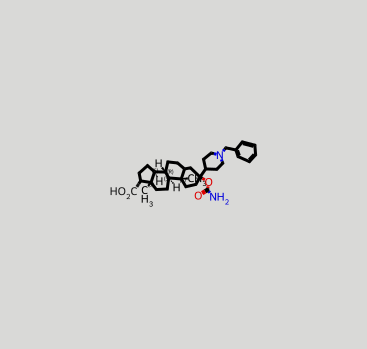 C[C@]12CCC(OC(N)=O)(C3CCN(Cc4ccccc4)CC3)CC1CC[C@@H]1[C@@H]2CC[C@]2(C)C(C(=O)O)CC[C@@H]12